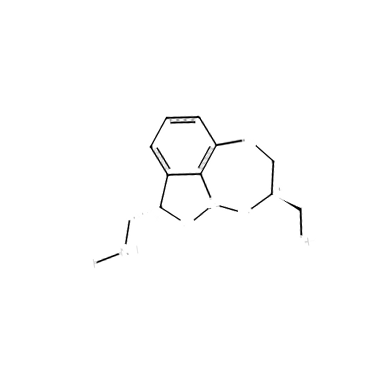 OC[C@@H]1COc2cccc3c2B(O1)O[C@@H]3CNCl